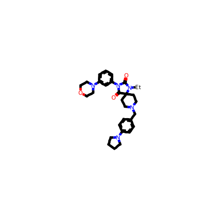 CCN1C(=O)N(c2cccc(N3CCOCC3)c2)C(=O)C12CCN(Cc1ccc(N3CCCC3)cc1)CC2